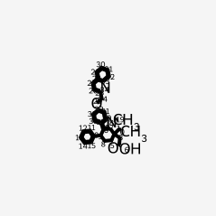 CCC1(CC(=O)O)CCC(c2ccccc2)c2c1n(C)c1cc(OCc3ccc4ccccc4n3)ccc21